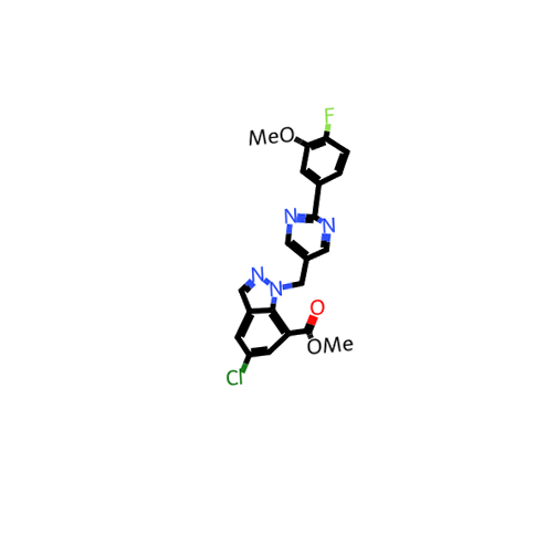 COC(=O)c1cc(Cl)cc2cnn(Cc3cnc(-c4ccc(F)c(OC)c4)nc3)c12